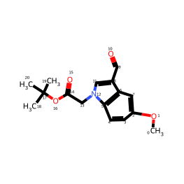 COc1ccc2c(c1)c(C=O)cn2CC(=O)OC(C)(C)C